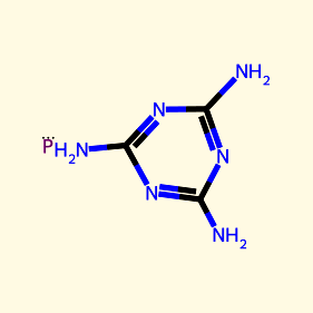 Nc1nc(N)nc(N)n1.[P]